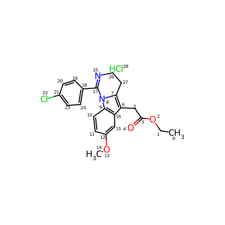 CCOC(=O)Cc1c2n(c3ccc(OC)cc13)C(c1ccc(Cl)cc1)=NCC2.Cl